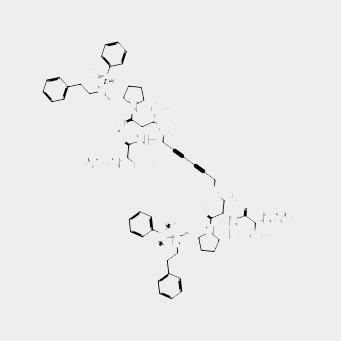 CN[C@@H](C)C(=O)N[C@H](C(=O)N1CCC[C@H]1CN(CCc1ccccc1)S(=O)(=O)c1ccccc1)[C@@H](C)OCC#CC#CCO[C@H](C)[C@H](NC(=O)[C@H](C)NC)C(=O)N1CCC[C@H]1CN(CCc1ccccc1)S(=O)(=O)c1ccccc1